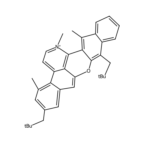 Cc1c2c(c(CC(C)(C)C)c3ccccc13)Oc1cc3cc(CC(C)(C)C)cc(C)c3c3cc[n+](C)c-2c13